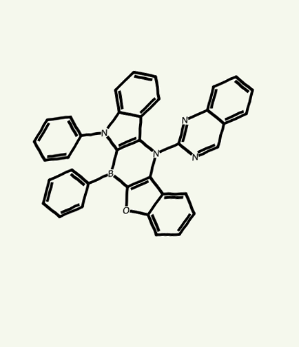 c1ccc(B2c3oc4ccccc4c3N(c3ncc4ccccc4n3)c3c2n(-c2ccccc2)c2ccccc32)cc1